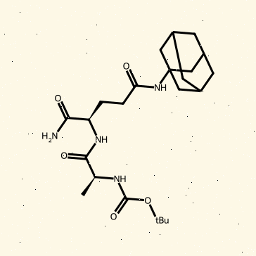 C[C@H](NC(=O)OC(C)(C)C)C(=O)N[C@H](CCC(=O)NC12CC3CC(CC(C3)C1)C2)C(N)=O